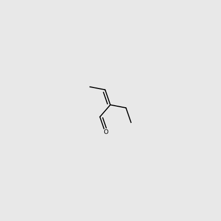 CC=C(C=O)CC